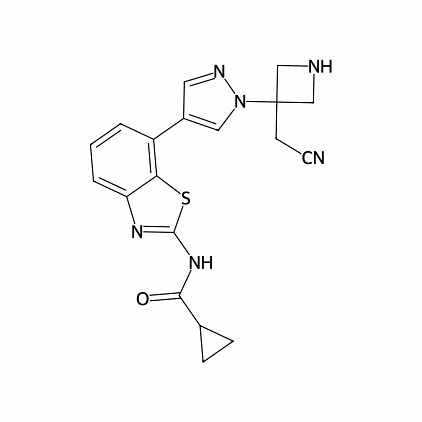 N#CCC1(n2cc(-c3cccc4nc(NC(=O)C5CC5)sc34)cn2)CNC1